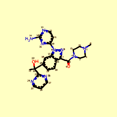 CN1CCN(C(=O)c2nn(-c3ccnc(N)n3)c3cc(C(C)(O)c4ncccn4)ccc23)CC1